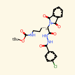 CC(C)(C)OC(=O)NCCC[C@@H](C(=O)NNC(=O)c1ccc(Cl)cc1)N1C(=O)c2ccccc2C1=O